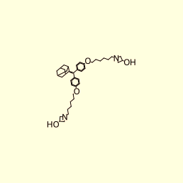 OC1CN(CCCCCCOc2ccc(C(=C3C4CC5CC(C4)CC3C5)c3ccc(OCCCCCCN4CC(O)C4)cc3)cc2)C1